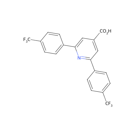 O=C(O)c1cc(-c2ccc(C(F)(F)F)cc2)nc(-c2ccc(C(F)(F)F)cc2)c1